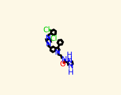 O=C(NCCCn1cc(-c2ccccc2)c2cc(CN3CC4CC3CN4Cc3c(Cl)cccc3Cl)ccc21)C1CNCCN1